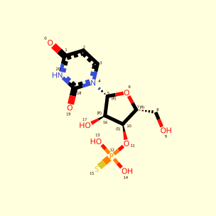 O=c1ccn([C@@H]2O[C@H](CO)[C@@H](OP(O)(O)=S)[C@H]2O)c(=O)[nH]1